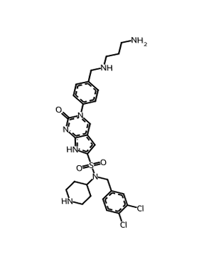 NCCCNCc1ccc(-n2cc3cc(S(=O)(=O)N(Cc4ccc(Cl)c(Cl)c4)C4CCNCC4)[nH]c3nc2=O)cc1